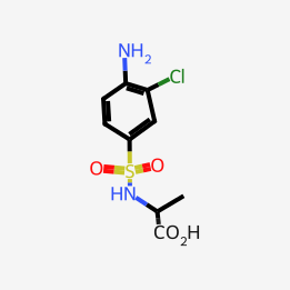 CC(NS(=O)(=O)c1ccc(N)c(Cl)c1)C(=O)O